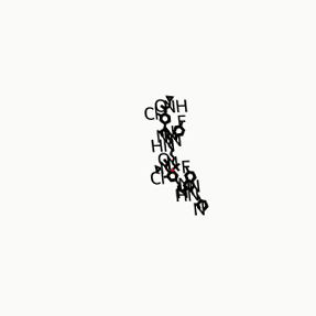 CC(C)(C)N(CCCNc1nc2ccc(F)cc2n2c(-c3ccc(C(=O)NC4CC4)c(Cl)c3)cnc12)C(=O)N(c1ccc(-c2cnc3c(NCc4cccnc4)nc4ccc(F)cc4n23)cc1Cl)C1CC1